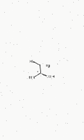 N[C@@H](CS)C(=O)O.[Hg]